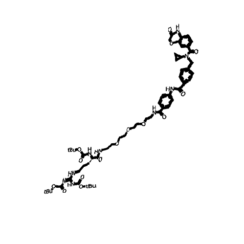 CC(C)(C)OC(=O)/N=C(/NCCC[C@H](NC(=O)OC(C)(C)C)C(=O)NCCOCCOCCOCCNC(=O)c1ccc(NC(=O)c2ccc(CN(C(=O)c3ccc4c(c3)OCC(=O)N4)C3CC3)cc2)cc1)NC(=O)OC(C)(C)C